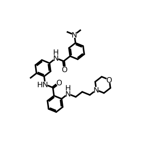 Cc1ccc(NC(=O)c2cccc(N(C)C)c2)cc1NC(=O)c1ccccc1NCCCN1CCOCC1